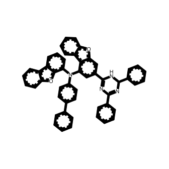 c1ccc(C2=NC(c3ccccc3)NC(c3cc(N(c4ccc(-c5ccccc5)cc4)c4cccc5c4oc4ccccc45)c4c(c3)oc3ccccc34)=N2)cc1